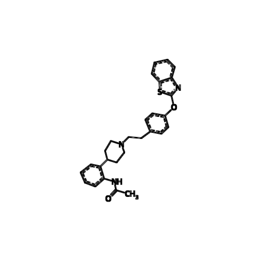 CC(=O)Nc1ccccc1C1CCN(CCc2ccc(Oc3nc4ccccc4s3)cc2)CC1